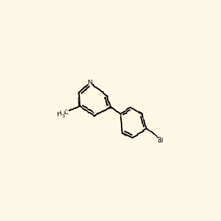 Cc1cncc(-c2ccc(Br)cc2)c1